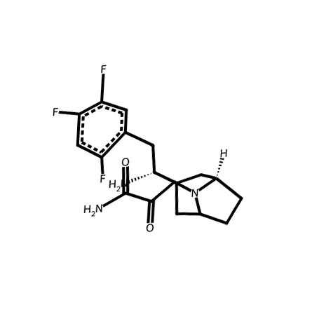 NC(=O)C(=O)CN1C2CC[C@@H]1CC([C@H](N)Cc1cc(F)c(F)cc1F)C2